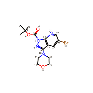 CC(C)(C)OC(=O)n1nc(N2CCOCC2)c2cc(Br)cnc21